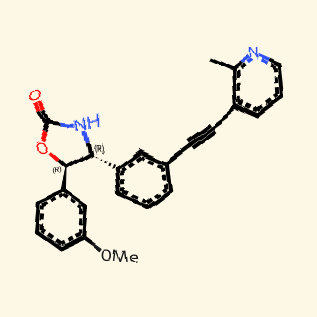 COc1cccc([C@H]2OC(=O)N[C@@H]2c2cccc(C#Cc3cccnc3C)c2)c1